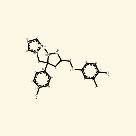 Cc1cc(OCC2CC(Cn3cncn3)(c3ccc(Cl)cc3)N(C)O2)ccc1Cl